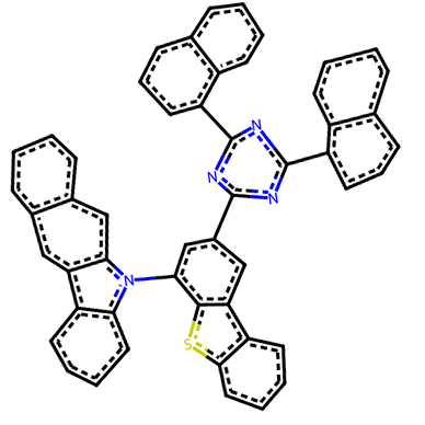 c1ccc2cc3c(cc2c1)c1ccccc1n3-c1cc(-c2nc(-c3cccc4ccccc34)nc(-c3cccc4ccccc34)n2)cc2c1sc1ccccc12